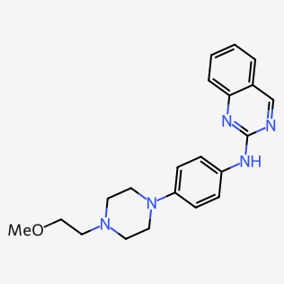 COCCN1CCN(c2ccc(Nc3ncc4ccccc4n3)cc2)CC1